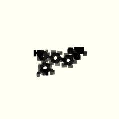 Cc1cc(-c2n[nH]cc2-c2ccc(-c3cccc(S(N)(=O)=O)c3)cc2)cc(C)n1